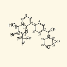 O=C(c1ccc(C2=CC=CN3C2=NC(C(F)(F)F)=C(Br)C3O)cc1)N1CCOC2CC21